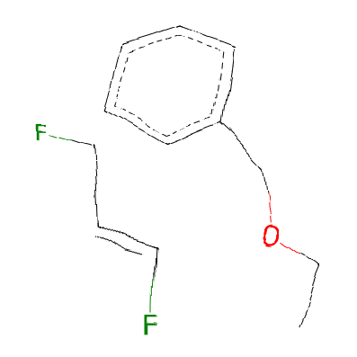 CCOCc1ccccc1.FC=CCF